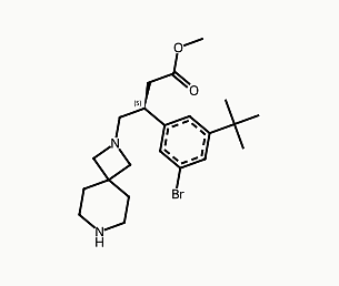 COC(=O)C[C@H](CN1CC2(CCNCC2)C1)c1cc(Br)cc(C(C)(C)C)c1